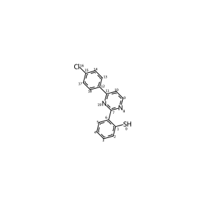 Sc1ccccc1-c1nccc(-c2ccc(Cl)cc2)n1